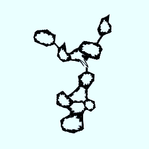 c1ccc(-c2ccc3c(c2)c2cc(-c4ccccc4)ccc2n3-c2ccc3c(c2)c2cccc4c5ccccc5c5cccc3c5c42)cc1